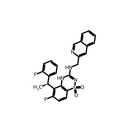 C[C@@H](c1ccccc1F)c1c(F)ccc2c1NC(NCc1cc3ccccc3cn1)=NS2(=O)=O